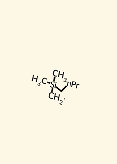 [CH2][Si](C)(C)CCCC